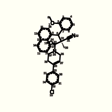 COc1ccccc1C(c1cccc2ccccc12)[C@@](C)(C#N)C(=O)N1CC=C(c2ccc(Cl)cc2)CC1